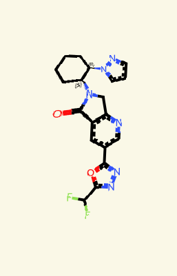 O=C1c2cc(-c3nnc(C(F)F)o3)cnc2CN1[C@H]1CCCC[C@H]1n1cccn1